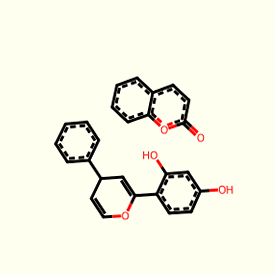 O=c1ccc2ccccc2o1.Oc1ccc(C2=CC(c3ccccc3)C=CO2)c(O)c1